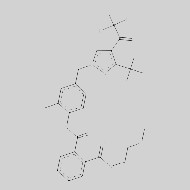 CSC[C@H](C)NC(=O)c1ccccc1C(=O)Nc1ccc(Cn2cc(C(=O)C(F)(F)F)c(C(F)(F)F)n2)cc1C